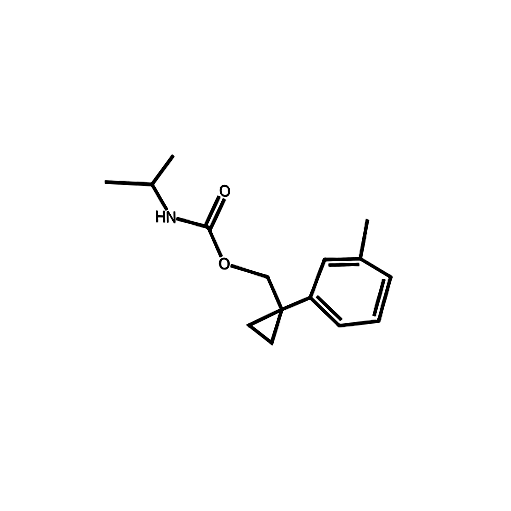 Cc1cccc(C2(COC(=O)NC(C)C)CC2)c1